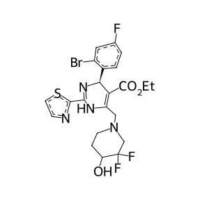 CCOC(=O)C1=C(CN2CCC(O)C(F)(F)C2)NC(c2nccs2)=N[C@H]1c1ccc(F)cc1Br